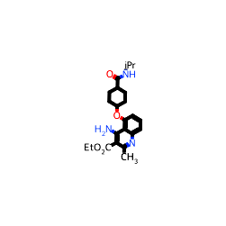 CCOC(=O)c1c(C)nc2cccc(OC3CCC(C(=O)NC(C)C)CC3)c2c1N